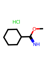 COC(=N)C1CCCCC1.Cl